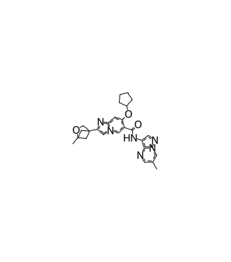 Cc1cnc2c(NC(=O)c3cn4cc(C56COC(C)(C5)C6)nc4cc3OC3CCCC3)cnn2c1